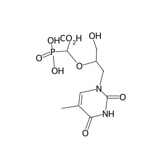 Cc1cn(CC(CO)OC(C(=O)O)P(=O)(O)O)c(=O)[nH]c1=O